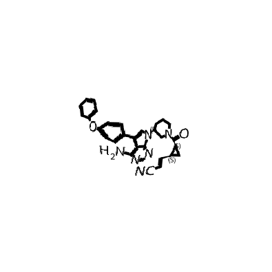 N#CC=C[C@@H]1C[C@@H]1C(=O)N1CCC[C@H](n2cc(-c3ccc(Oc4ccccc4)cc3)c3c(N)ncnc32)C1